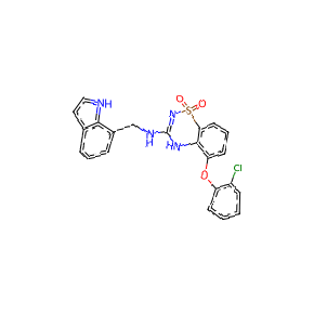 O=S1(=O)N=C(NCc2cccc3cc[nH]c23)Nc2c(Oc3ccccc3Cl)cccc21